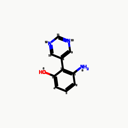 Nc1cccc(O)c1-c1cncnc1